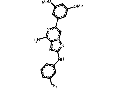 COc1cc(OC)cc(-c2cn3nc(Nc4cccc(C(F)(F)F)c4)nc3c(N)n2)c1